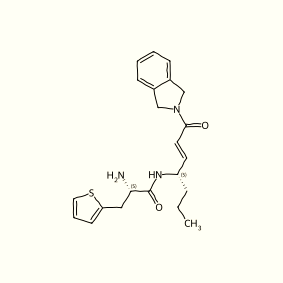 CCC[C@@H](C=CC(=O)N1Cc2ccccc2C1)NC(=O)[C@@H](N)Cc1cccs1